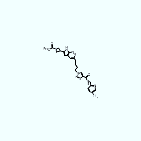 CC(C)OC(=O)N1CC(c2cc3cc(CCCCn4cc(C(=O)NCc5ccc(C(F)(F)F)cn5)nn4)nnc3[nH]2)C1